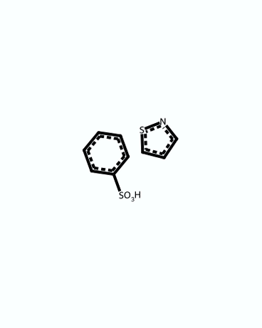 O=S(=O)(O)c1ccccc1.c1cnsc1